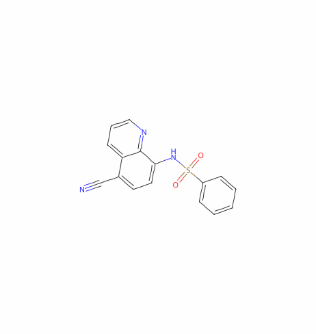 N#Cc1ccc(NS(=O)(=O)c2ccccc2)c2ncccc12